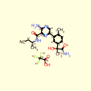 Cc1ccc(C(O)(C(N)=O)C(F)(F)F)cc1-c1cnc(N)c(C(=O)N[C@@H](C)CC#N)n1.O=C(O)C(F)(F)F